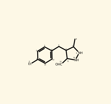 CCc1ccc(CC2C(C)NNC2C=O)cc1